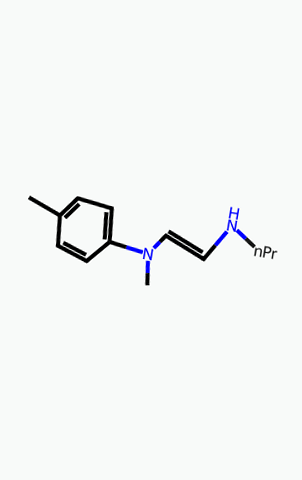 CCCN/C=C/N(C)c1ccc(C)cc1